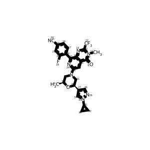 C[C@H]1CN(c2cc3c(=O)n(C)c(C(F)(F)F)nc3c(-c3ccc(C#N)cc3F)n2)C[C@@H](c2cnn(C3CC3)c2)O1